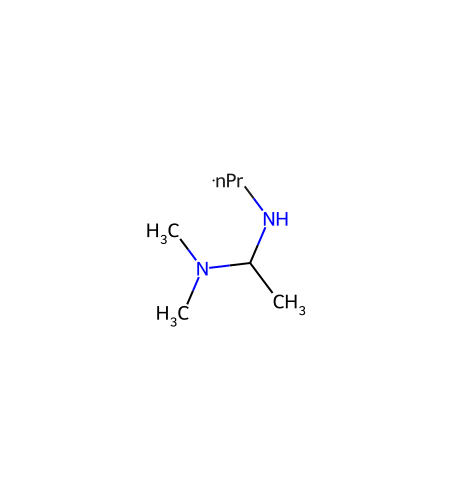 CC[CH]NC(C)N(C)C